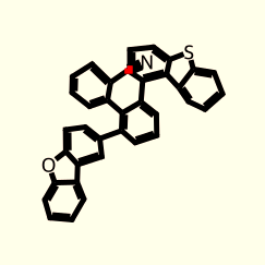 N#Cc1ccccc1-c1c(-c2ccc3oc4ccccc4c3c2)cccc1-c1cccc2sc3ccccc3c12